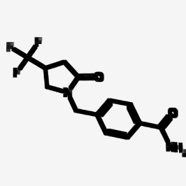 NC(=O)c1ccc(CN2CC(C(F)(F)F)CC2=O)cc1